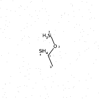 CCO[SiH3].[SiH4]